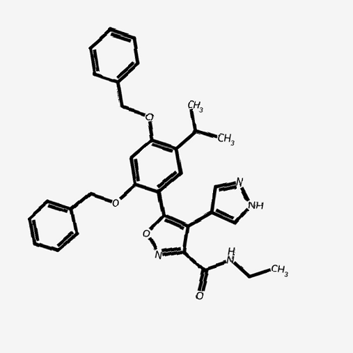 CCNC(=O)c1noc(-c2cc(C(C)C)c(OCc3ccccc3)cc2OCc2ccccc2)c1-c1cn[nH]c1